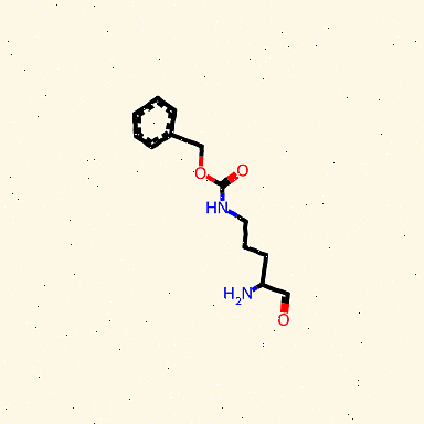 NC(C=O)CCCNC(=O)OCc1ccccc1